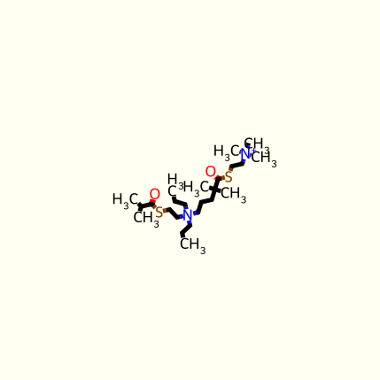 CCC[N+](CCC)(CCCC(C)(C)C(=O)SCC[N+](C)(C)C)CCSC(=O)C(C)C